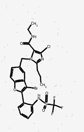 CCCc1nc(Cl)c(C(=O)NCC)n1Cc1ccc2oc(-c3ccccc3NS(=O)(=O)C(F)(F)F)c(Br)c2c1